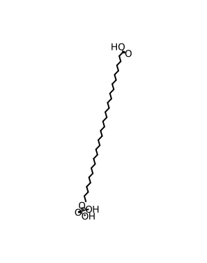 O=C(O)CCCCCCCCCCCCCCCCCCCCCCCCCCCCCCCCOP(=O)(O)O